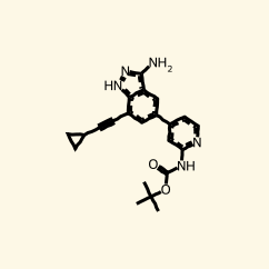 CC(C)(C)OC(=O)Nc1cc(-c2cc(C#CC3CC3)c3[nH]nc(N)c3c2)ccn1